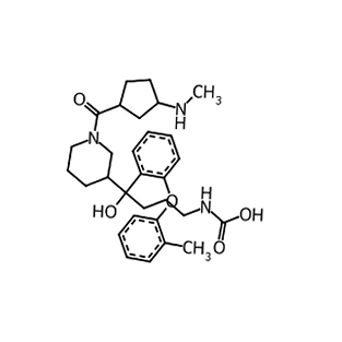 CNC1CCC(C(=O)N2CCCC(C(O)(CCCNC(=O)O)c3ccccc3Oc3ccccc3C)C2)C1